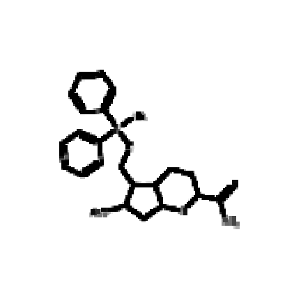 CC(=O)OC1CC2OC(C(N)=S)CCC2C1CO[Si](c1ccccc1)(c1ccccc1)C(C)(C)C